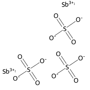 O=S(=O)([O-])[O-].O=S(=O)([O-])[O-].O=S(=O)([O-])[O-].[Sb+3].[Sb+3]